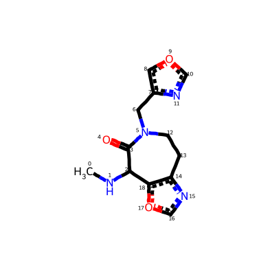 CNC1C(=O)N(Cc2cocn2)CCc2ncoc21